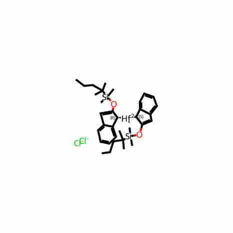 CCCC(C)(C)[Si](C)(C)OC1=Cc2ccccc2[C@@H]1[Hf+2][C@H]1C(O[Si](C)(C)C(C)(C)CCC)=Cc2ccccc21.[Cl-].[Cl-]